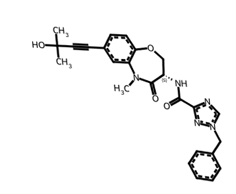 CN1C(=O)[C@@H](NC(=O)c2ncn(Cc3ccccc3)n2)COc2ccc(C#CC(C)(C)O)cc21